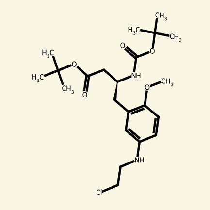 COc1ccc(NCCCl)cc1C[C@@H](CC(=O)OC(C)(C)C)NC(=O)OC(C)(C)C